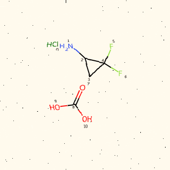 Cl.NC1CC1(F)F.O=C(O)O